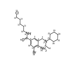 CCN(Cc1cc(C(=O)NCCCCCCl)cc(Br)c1N)C1CCCCC1